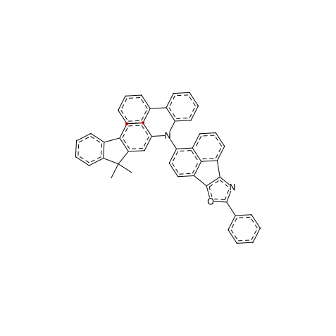 CC1(C)c2ccccc2-c2ccc(N(c3ccccc3-c3ccccc3)c3ccc4c5c(cccc35)-c3nc(-c5ccccc5)oc3-4)cc21